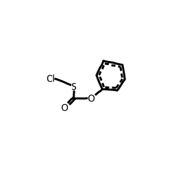 O=C(Oc1ccccc1)SCl